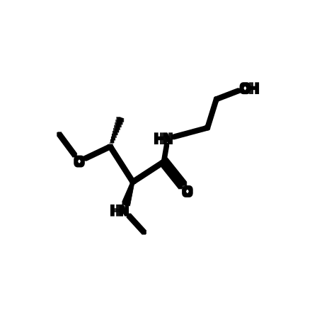 CN[C@H](C(=O)NCCO)[C@@H](C)OC